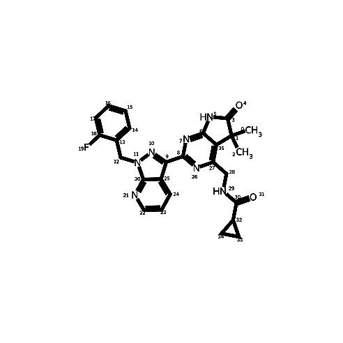 CC1(C)C(=O)Nc2nc(-c3nn(Cc4ccccc4F)c4ncccc34)nc(CNC(=O)C3CC3)c21